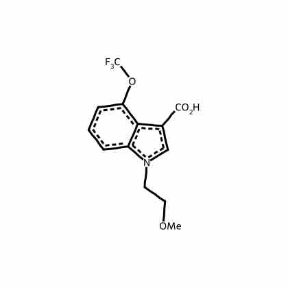 COCCn1cc(C(=O)O)c2c(OC(F)(F)F)cccc21